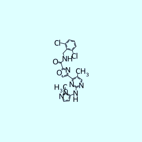 Cc1cnc(Nc2ccnn2C)nc1-c1coc(C(=O)NCc2c(Cl)cccc2Cl)n1